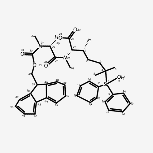 C[C@H](CCC(C)(C)[Si](O)(c1ccccc1)c1ccccc1)[C@@H](C(=O)O)N(C)C(=O)[C@@H](C)N(C)C(=O)OCC1c2ccccc2-c2ccccc21